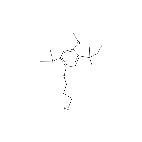 CCC(C)(C)c1cc(OCCCO)c(C(C)(C)C)cc1OC